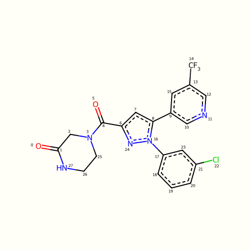 O=C1CN(C(=O)c2cc(-c3cncc(C(F)(F)F)c3)n(-c3cccc(Cl)c3)n2)CCN1